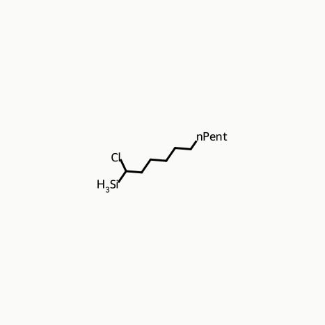 CCCCCCCCCCC([SiH3])Cl